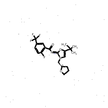 CC(C)(C)c1cn(C[C@H]2CCCO2)/c(=N/C(=O)c2cc(C(F)(F)F)ccc2F)o1